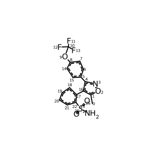 Cc1onc(-c2ccc(OC(F)(F)F)cc2)c1-c1ccccc1S(N)(=O)=O